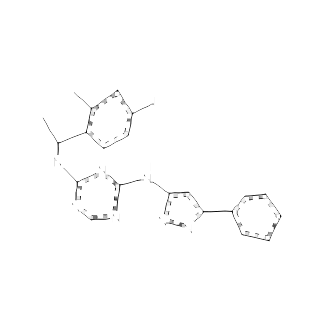 CC(Nc1ncnc(Nc2cc(-c3ccccc3)[nH]n2)n1)c1ccc(F)cc1F